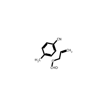 C=CCO[C]=O.[CH2]c1ccc(C#N)cc1